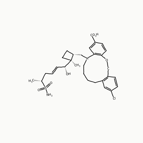 C[C@H](C/C=C/[C@@H](O)[C@@]1(C)CC[C@@H]1CN1CCCCc2cc(Cl)ccc2COc2ccc(C(=O)O)cc21)S(N)(=O)=O